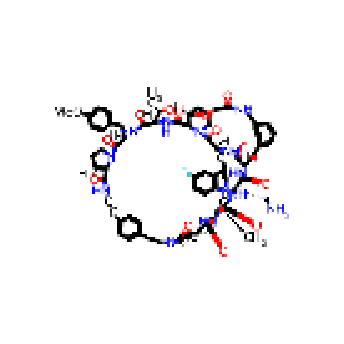 COc1ccc(C[C@@H]2NC(=O)[C@H]([C@@H](C)O)NC(=O)C3[C@@H]4CCCN3C(=O)[C@@H]3Cc5cn(c6ccc(F)cc56)CCCCCCN(Cc5ccc(cc5)CCNC(=O)[C@]5(C)CCCN5C2=O)C(=O)CCC(=O)N[C@@H](C)C(=O)N[C@H](CN)C(=O)N[C@@H](Cc2cccc(c2)CNC(=O)CO4)C(=O)N3)cc1